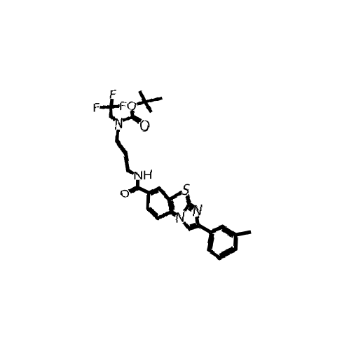 Cc1cccc(-c2cn3c(n2)sc2cc(C(=O)NCCCN(CC(F)(F)F)C(=O)OC(C)(C)C)ccc23)c1